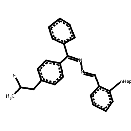 CCCCCCCc1ccccc1C=NN=C(c1ccccc1)c1ccc(CC(C)F)cc1